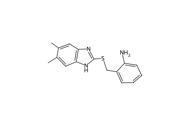 Cc1cc2nc(SCc3ccccc3N)[nH]c2cc1C